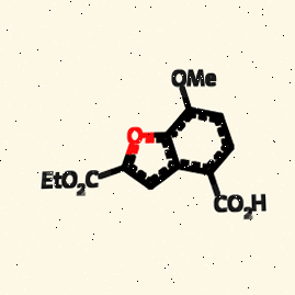 CCOC(=O)c1cc2c(C(=O)O)ccc(OC)c2o1